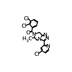 CC1Cn2c(nnc2-c2cc(Cl)ccn2)CN1C(=O)c1cccc(Cl)c1Cl